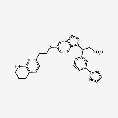 O=C(O)CC(c1cccc(-n2cccn2)n1)n1ncc2cc(OCCc3ccc4c(n3)NCCC4)ccc21